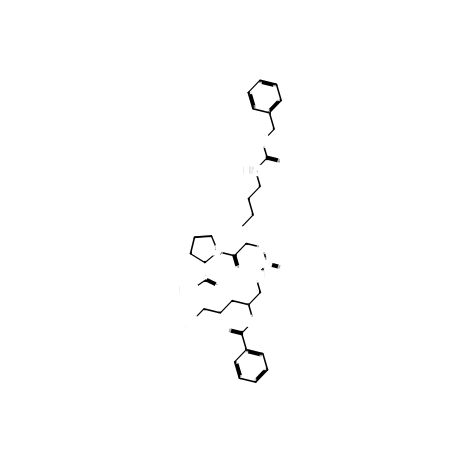 CCCCC(CO[PH](=O)O[C@@H](CCCCNC(=O)OCc1ccccc1)C(=O)N1CCC[C@H]1C(=O)O)OC(=O)c1ccccc1